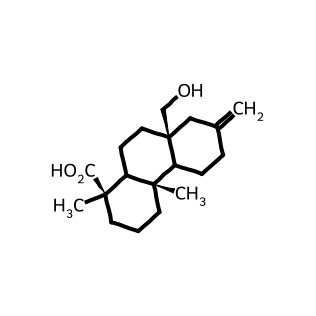 C=C1CCC2[C@](CO)(CCC3[C@@]2(C)CCC[C@@]3(C)C(=O)O)C1